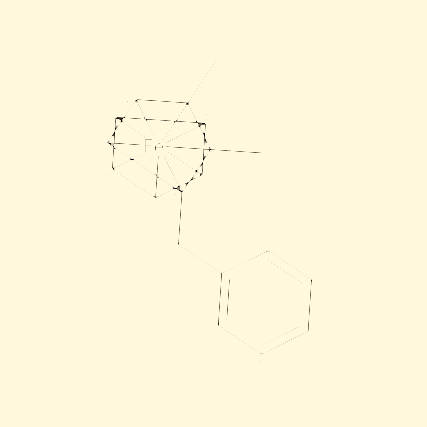 C[C]12[CH]3[CH]4[C]5(Cc6ccccc6)[C]1(C)[Fe]34251678[CH]2[CH]1[CH]6[CH]7[CH]28